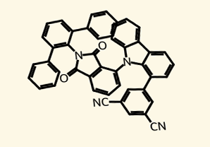 N#Cc1cc(C#N)cc(-c2cccc3c4ccccc4n(-c4cccc5c4C(=O)N(c4c(-c6ccccc6)cccc4-c4ccccc4)C5=O)c23)c1